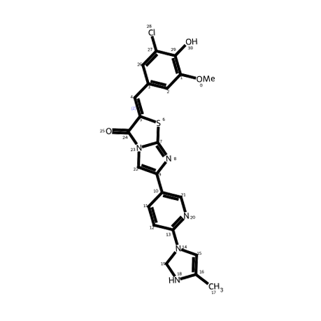 COc1cc(/C=c2\sc3nc(-c4ccc(N5C=C(C)NC5)nc4)cn3c2=O)cc(Cl)c1O